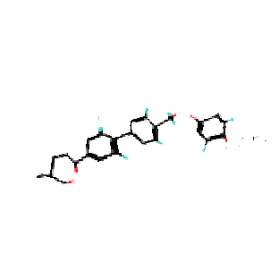 CCCCC1CCC(c2cc(F)c(-c3cc(F)c(C(F)(F)Oc4cc(F)c(OC(F)(F)F)c(F)c4)c(F)c3)c(F)c2)OC1